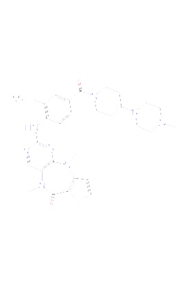 COc1cc(C(=O)N2CCC(N3CCN(C)CC3)CC2)ccc1Nc1ncc2c(n1)N(C)c1ccsc1C(=O)N2C